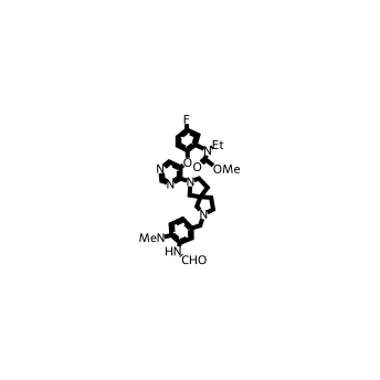 CCN(C(=O)OC)c1cc(F)ccc1Oc1cncnc1N1CCC2(CCN(Cc3ccc(NC)c(NC=O)c3)C2)C1